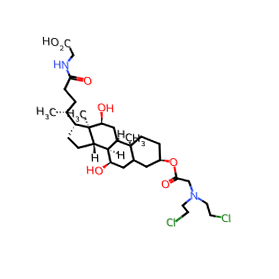 C[C@H](CCC(=O)NCC(=O)O)[C@H]1CC[C@H]2[C@@H]3[C@H](O)CC4C[C@H](OC(=O)CN(CCCl)CCCl)CC[C@]4(C)[C@H]3C[C@H](O)[C@]12C